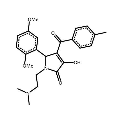 COc1ccc(OC)c(C2C(C(=O)c3ccc(C)cc3)=C(O)C(=O)N2CCN(C)C)c1